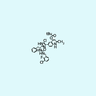 C=C1C=C(OC(=O)C(C)(C)C)c2cc(-c3nc([C@H](Cc4ccccc4)NC(=O)NCc4cccc(Cl)c4F)[nH]c3Cl)ccc2N1